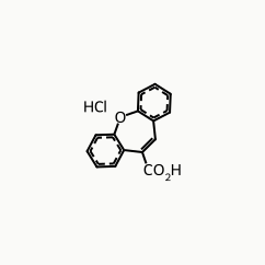 Cl.O=C(O)C1=Cc2ccccc2Oc2ccccc21